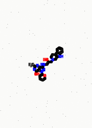 Oc1nc(C(F)(F)F)nc2c(NCC(O)CN3CCc4c([nH]c5ccccc45)C3)nn(C3CCCCO3)c12